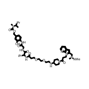 CNN(C)Cc1cc2cccnc2n1CCC(=O)N1CCC(NCCOCCOCCC(=O)NC(C(=O)NCC(=O)Nc2ccc(COC(=O)N(C)C(C)C(C)C)cc2O)C(C)C)CC1